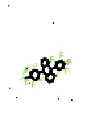 Fc1c(F)c(F)c(-c2c3ccccc3c(-c3c(F)c(F)c(C(F)(F)F)c(F)c3F)c3ccccc23)c(F)c1F